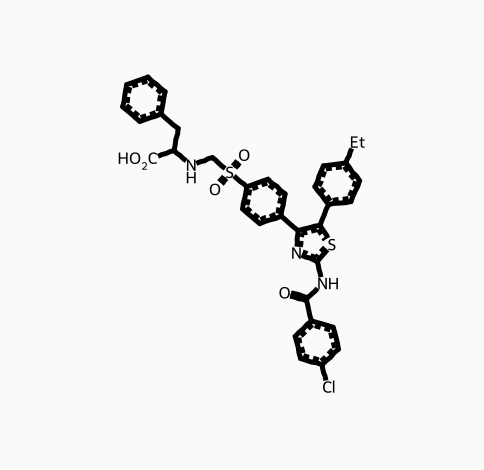 CCc1ccc(-c2sc(NC(=O)c3ccc(Cl)cc3)nc2-c2ccc(S(=O)(=O)CNC(Cc3ccccc3)C(=O)O)cc2)cc1